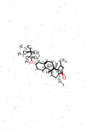 CC1CC(=O)[C@@]2(C)CC[C@H]3[C@@H](CC=C4C[C@@H](O[Si](C)(C)C(C)(C)C)CC[C@@]43C)[C@H]12